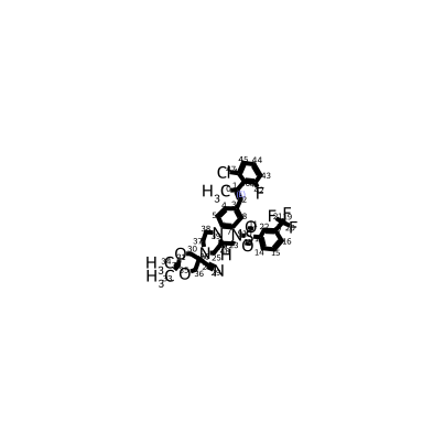 C/C(=C\c1ccc2c(c1)N(S(=O)(=O)c1cccc(C(F)(F)F)c1)C[C@@H]1CN(C3(C#N)COC(C)(C)OC3)CCN21)c1c(F)cccc1Cl